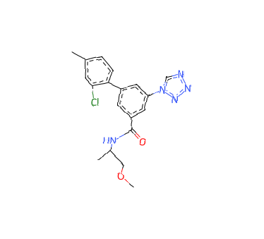 COCC(C)NC(=O)c1cc(-c2ccc(C)cc2Cl)cc(-n2cnnn2)c1